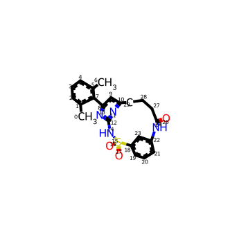 Cc1cccc(C)c1-c1cc2nc(n1)NS(=O)(=O)c1cccc(c1)NC(=O)CCC2